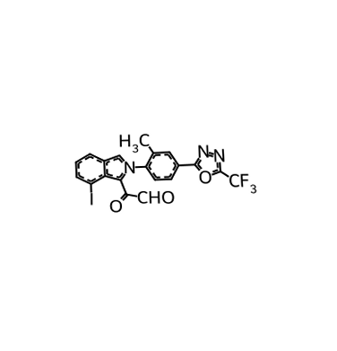 Cc1cc(-c2nnc(C(F)(F)F)o2)ccc1-n1cc2cccc(I)c2c1C(=O)C=O